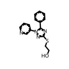 OCCSc1nc(-c2ccccc2)n(-c2cccnc2)n1